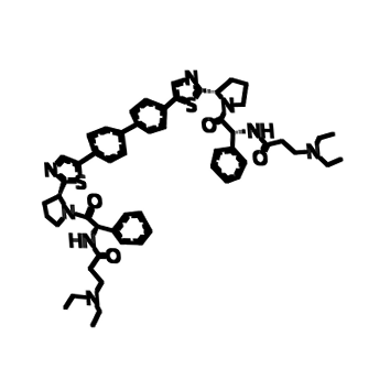 CCN(CC)CCC(=O)N[C@@H](C(=O)N1CCC[C@H]1c1ncc(-c2ccc(-c3ccc(-c4cnc([C@@H]5CCCN5C(=O)[C@H](NC(=O)CCN(CC)CC)c5ccccc5)s4)cc3)cc2)s1)c1ccccc1